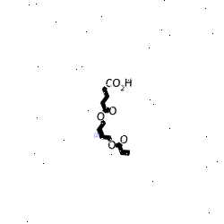 C=CC(=O)OC/C=C\COC(=O)CCCC(=O)O